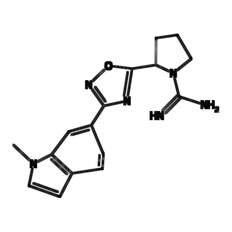 Cn1ccc2ccc(-c3noc(C4CCCN4C(=N)N)n3)cc21